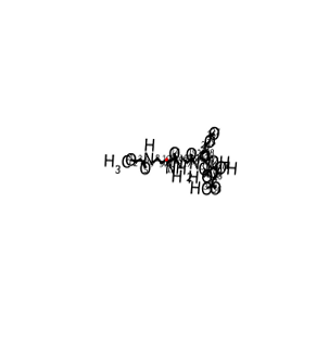 COCCC(=O)NCCCC[C@H](N)C(=O)NCCC(=O)Nc1cc(COC=O)ccc1O[C@@H]1OC(C(=O)O)=C[C@H](O)[C@H]1O